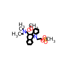 CCN(CC)C(=O)C1Cc2ccccc2-c2c1c1c(OC)cccc1n2CCOS(C)(=O)=O